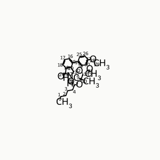 CCCCCC(=O)OC(C)(C)COc1c(-c2cccc3c2CNC3=O)ccc(OC)c1OC